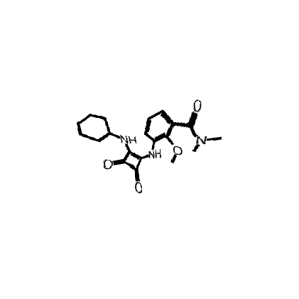 COc1c(Nc2c(NC3CCCCC3)c(=O)c2=O)cccc1C(=O)N(C)C